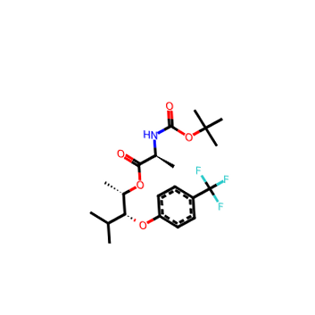 CC(C)[C@@H](Oc1ccc(C(F)(F)F)cc1)[C@H](C)OC(=O)[C@H](C)NC(=O)OC(C)(C)C